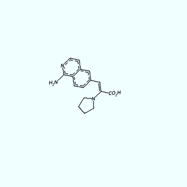 Nc1nccc2cc(C=C(C(=O)O)N3CCCC3)ccc12